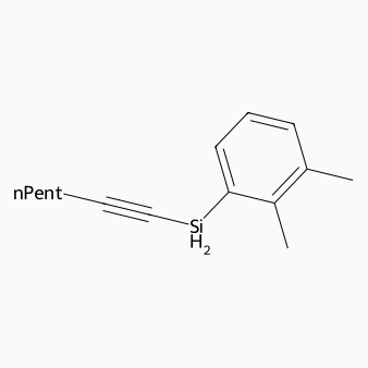 CCCCCC#C[SiH2]c1cccc(C)c1C